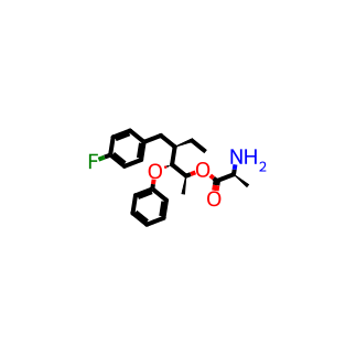 CC[C@H](Cc1ccc(F)cc1)[C@@H](Oc1ccccc1)[C@H](C)OC(=O)[C@H](C)N